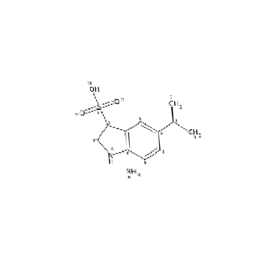 CC(C)c1ccc2c(c1)C(S(=O)(=O)O)CN2.N